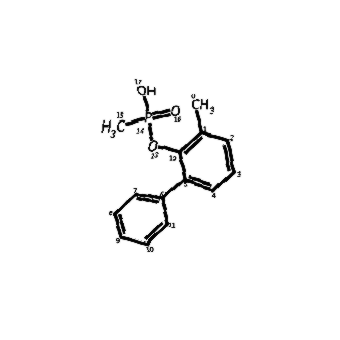 Cc1cccc(-c2ccccc2)c1OP(C)(=O)O